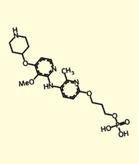 COc1c(OC2CCNCC2)ccnc1Nc1ccc(OCCCOP(=O)(O)O)nc1C